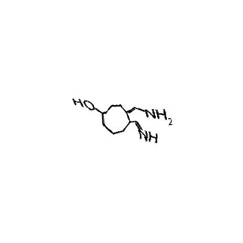 N=CC1CCCC(O)CC/C1=C/N